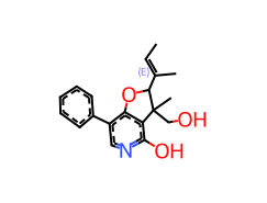 C/C=C(\C)C1Oc2c(-c3ccccc3)cnc(O)c2C1(C)CO